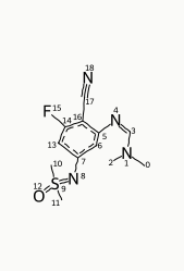 CN(C)/C=N\c1cc(N=S(C)(C)=O)cc(F)c1C#N